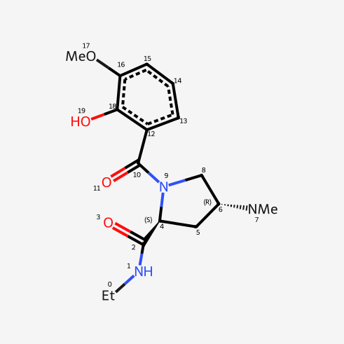 CCNC(=O)[C@@H]1C[C@@H](NC)CN1C(=O)c1cccc(OC)c1O